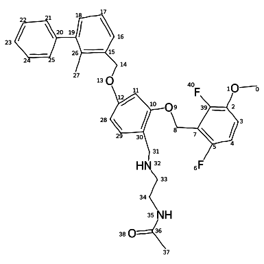 COc1ccc(F)c(COc2cc(OCc3cccc(-c4ccccc4)c3C)ccc2CNCCNC(C)=O)c1F